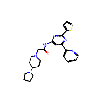 O=C(CN1CCC(N2CCCC2)CC1)Nc1cc(-c2ccccn2)nc(-c2cccs2)n1